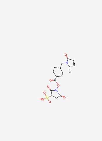 C=C1C=CC(=O)N1CC1CCC(C(=O)ON2C(=O)CC(S(=O)(=O)O)C2=O)CC1